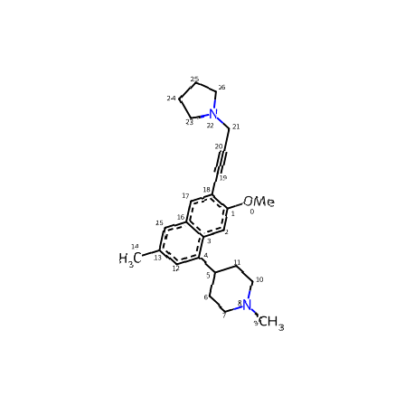 COc1cc2c(C3CCN(C)CC3)cc(C)cc2cc1C#CCN1CCCC1